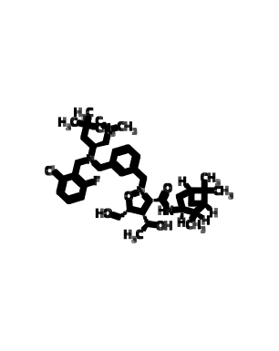 C[C@@H]1[C@@H](NC(=O)[C@@H]2[C@H]([C@H](C)O)[C@H](CO)ON2Cc2cccc(CN(Cc3c(F)cccc3Cl)[C@H](CN(C)C)CC(C)(C)C)c2)C[C@H]2C[C@@H]1C2(C)C